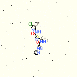 C[C@@H](NC(=O)c1cnn(-c2ccccn2)c1)c1ncc(C(=O)Nc2cc(C(F)(F)F)c(Cl)cn2)s1